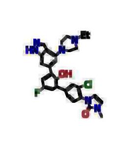 CCN1CCN(c2cc(-c3cc(F)cc(-c4ccc(-n5ccn(C)c5=O)c(Cl)c4)c3O)cc3[nH]ncc23)CC1